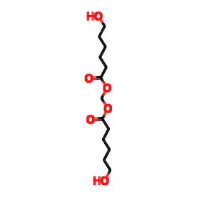 O=C(CCCCCO)OCOC(=O)CCCCCO